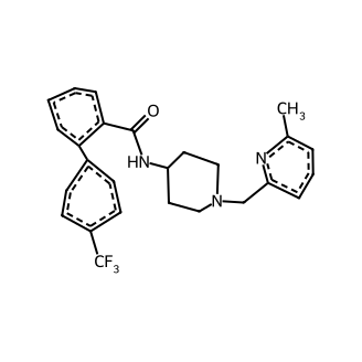 Cc1cccc(CN2CCC(NC(=O)c3ccccc3-c3ccc(C(F)(F)F)cc3)CC2)n1